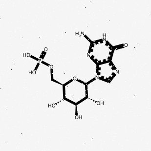 Nc1nc2c(ncn2C2O[C@H](COP(=O)(O)O)[C@@H](O)[C@H](O)[C@H]2O)c(=O)[nH]1